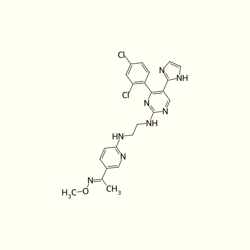 CO/N=C(\C)c1ccc(NCCNc2ncc(-c3ncc[nH]3)c(-c3ccc(Cl)cc3Cl)n2)nc1